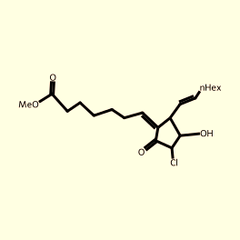 CCCCCCC=CC1C(=CCCCCCC(=O)OC)C(=O)C(Cl)C1O